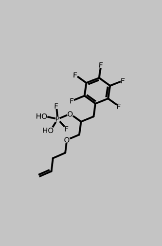 C=CCCOCC(Cc1c(F)c(F)c(F)c(F)c1F)OP(O)(O)(F)F